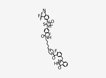 CC1(C)C(=O)N(c2ccc(C#N)c(C(F)(F)F)c2)C(=S)N1c1ccc(C(=O)NCCCCCN2CCN(C(=O)c3cc(Cc4n[nH]c(=O)c5ccccc45)ccc3F)CC2)c(F)c1